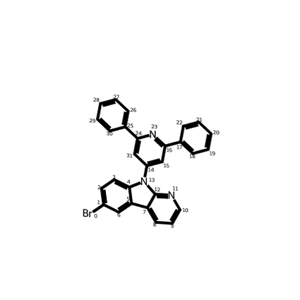 Brc1ccc2c(c1)c1cccnc1n2-c1cc(-c2ccccc2)nc(-c2ccccc2)c1